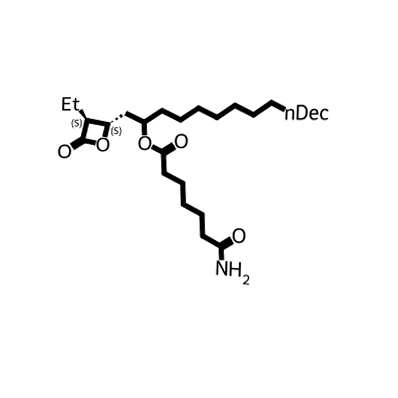 CCCCCCCCCCCCCCCCCC(C[C@@H]1OC(=O)[C@H]1CC)OC(=O)CCCCCC(N)=O